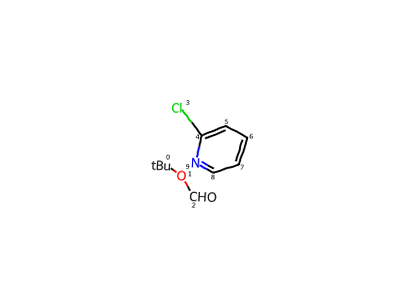 CC(C)(C)OC=O.Clc1ccccn1